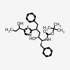 CCC(O)c1cnc(C(Cc2ccccc2)C[C@H](O)[C@H](Cc2ccccc2)NC(=O)OC(C)(C)C)s1